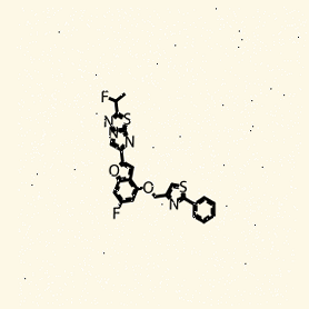 CC(F)c1nn2cc(-c3cc4c(OCc5csc(-c6ccccc6)n5)cc(F)cc4o3)nc2s1